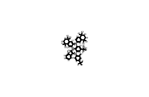 Cc1cc(C(C)(C)C)ccc1N1c2cc(C(F)(F)F)cc3c2B(c2cc4c(cc2N3c2ccc3c(c2)C(C)(C)CCC3(C)C)C(C)(C)CCC4(C)C)c2oc3ccccc3c21